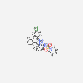 CS/C(=N\S(=O)(=O)N1CCCCC1)N1CC(c2ccccc2)C(c2ccc(Cl)cc2)=N1